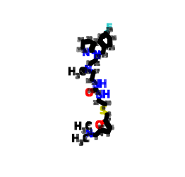 CN(C)Cc1ccc(CSCCNC(=O)NCCN(C)CCN(Cc2ccc(F)cc2)c2ccccn2)o1